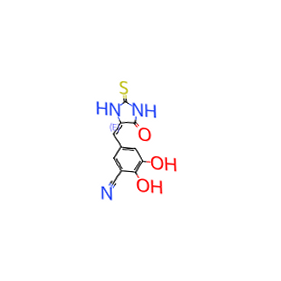 N#Cc1cc(/C=C2/NC(=S)NC2=O)cc(O)c1O